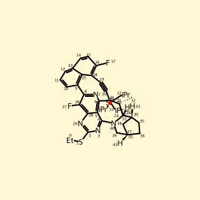 CCSc1nc2c3c(nc(-c4cccc5ccc(F)c(C#C[Si](C(C)C)(C(C)C)C(C)C)c45)c(F)c3n1)C[C@H](C)[C@@H]1[C@@H]3CC[C@@H](C3)CN21